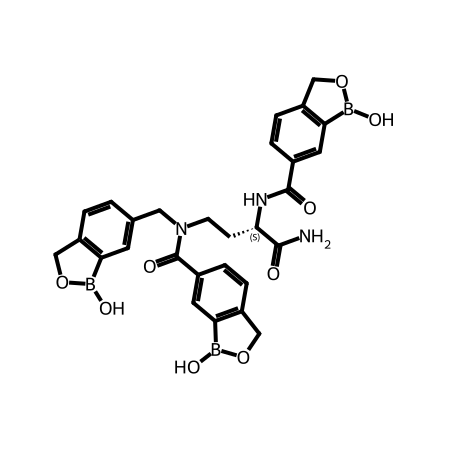 NC(=O)[C@H](CCN(Cc1ccc2c(c1)B(O)OC2)C(=O)c1ccc2c(c1)B(O)OC2)NC(=O)c1ccc2c(c1)B(O)OC2